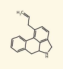 C=CCc1ccc2c3c1-c1ccccc1CC3NC2